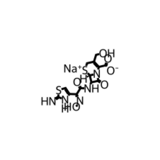 N=c1[nH]c(C(=NO)C(=O)NC2C(=O)N3C(C(=O)[O-])=C(CO)CS[C@@H]23)cs1.[Na+]